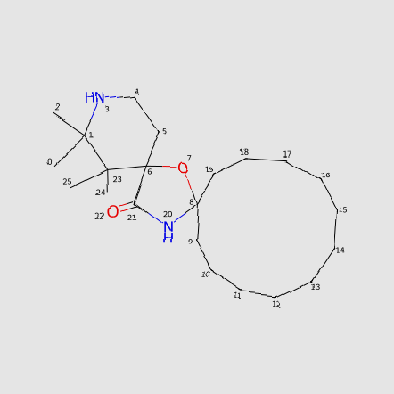 CC1(C)NCCC2(OC3(CCCCCCCCCCC3)NC2=O)C1(C)C